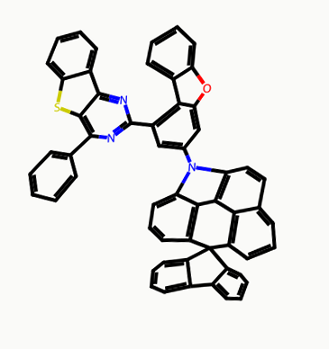 c1ccc(-c2nc(-c3cc(-n4c5cccc6c5c5c7c(cccc7ccc54)C64c5ccccc5-c5ccccc54)cc4oc5ccccc5c34)nc3c2sc2ccccc23)cc1